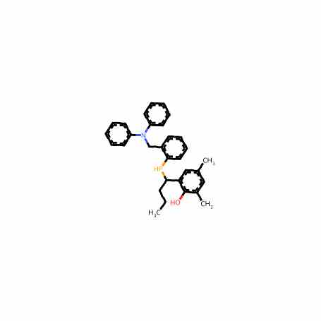 CCCC(Pc1ccccc1CN(c1ccccc1)c1ccccc1)c1cc(C)cc(C)c1O